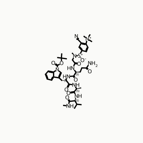 CNC(=O)[C@@H](NC(=O)[C@H](C)NC(=O)[C@H](Cc1cn(C(=O)OC(C)(C)C)c2ccccc12)NC(=O)[C@H](CCC(N)=O)NC(=O)CN(C)[S+]([O-])c1ccc([N+](C)(C)C)c(C#N)c1)C(C)C